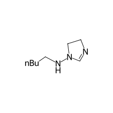 CCCCCNN1C=NCC1